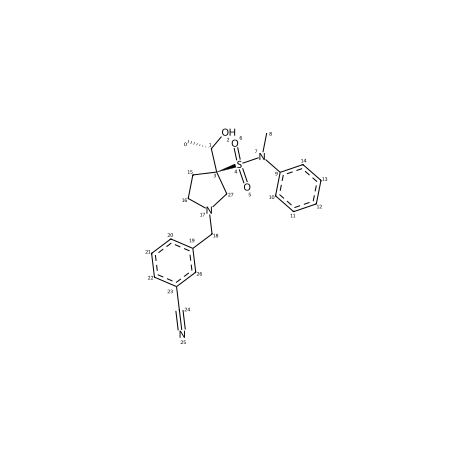 C[C@H](O)[C@@]1(S(=O)(=O)N(C)c2ccccc2)CCN(Cc2cccc(C#N)c2)C1